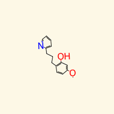 COc1ccc(CCCc2ccccn2)c(O)c1